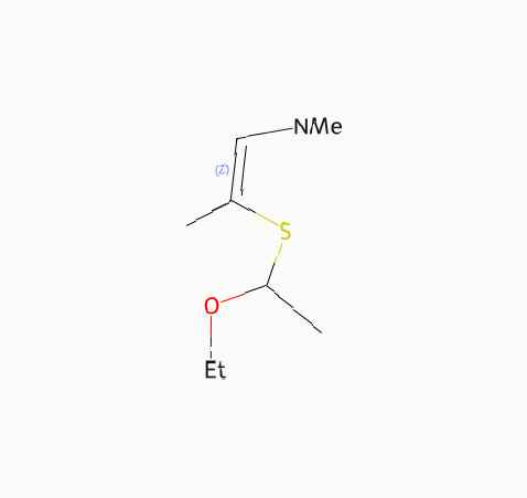 CCOC(C)S/C(C)=C\NC